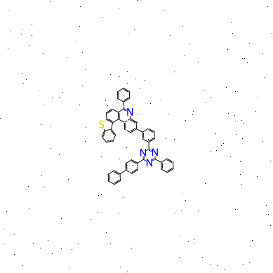 c1ccc(-c2ccc(-c3nc(-c4ccccc4)nc(-c4cccc(-c5ccc6c(c5)nc(-c5ccccc5)c5ccc7sc8ccccc8c7c56)c4)n3)cc2)cc1